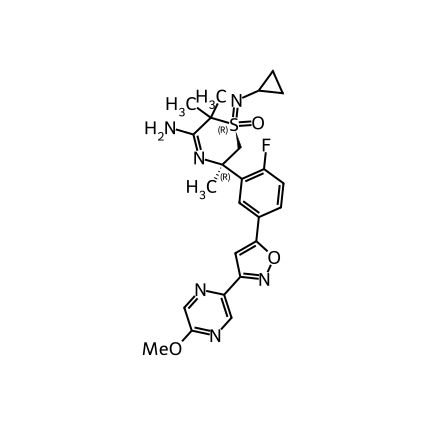 COc1cnc(-c2cc(-c3ccc(F)c([C@]4(C)C[S@](=O)(=NC5CC5)C(C)(C)C(N)=N4)c3)on2)cn1